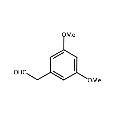 COc1cc(CC=O)cc(OC)c1